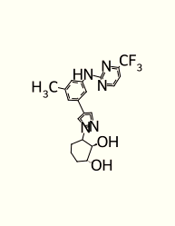 Cc1cc(Nc2nccc(C(F)(F)F)n2)cc(-c2cnn(C3CCC[C@@H](O)[C@@H]3O)c2)c1